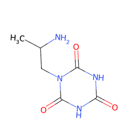 CC(N)Cn1c(=O)[nH]c(=O)[nH]c1=O